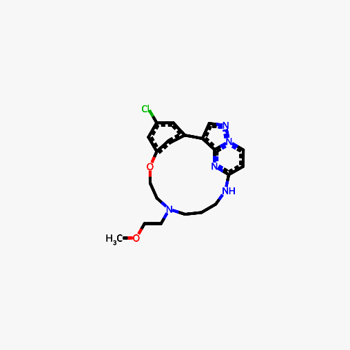 COCCN1CCCNc2ccn3ncc(c3n2)-c2cc(Cl)cc(c2)OCC1